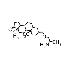 CC(N)CON=C1CC[C@@]2(C)C(CCC3C2CC[C@]2(C)C(=O)CCC32)C1